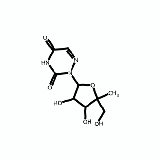 CC1(CO)OC(n2ncc(=O)[nH]c2=O)C(O)C1O